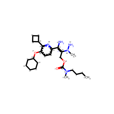 CCCCN(C)C(=O)OC/C(=C(/N)c1ccc(OC2CCCCC2)c(C2CCC2)n1)N(C)N